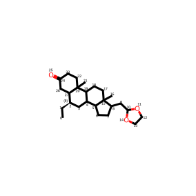 CC[C@@H]1CC2C3CCC(CC4OCCO4)C3(C)CCC2C2(C)CCC(=O)CC12